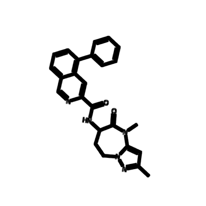 Cc1cc2n(n1)CCC(NC(=O)c1cc3c(-c4ccccc4)cccc3cn1)C(=O)N2C